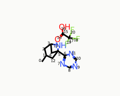 CC1CC2CC(c3ncncn3)(C1)N2.O=C(O)C(F)(F)F